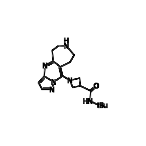 CC(C)(C)NC(=O)C1CN(c2c3c(nc4ccnn24)CCNCC3)C1